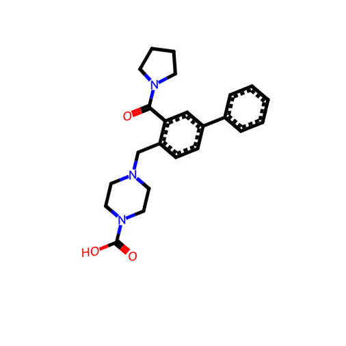 O=C(O)N1CCN(Cc2ccc(-c3ccccc3)cc2C(=O)N2CCCC2)CC1